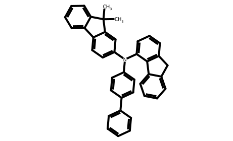 CC1(C)c2ccccc2-c2ccc(N(c3ccc(-c4ccccc4)cc3)c3cccc4c3-c3ccccc3C4)cc21